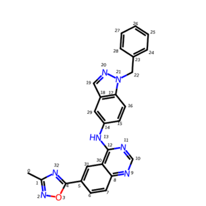 Cc1noc(-c2ccc3ncnc(Nc4ccc5c(cnn5Cc5ccccc5)c4)c3c2)n1